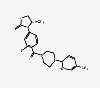 CC1=CNC(N2CCN(C(=O)c3ccc(N4C(=O)OC[C@H]4C)cc3F)CC2)C=C1